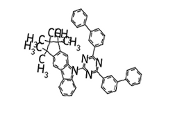 CC1(C)c2cc3c4ccccc4n(-c4nc(-c5cccc(-c6ccccc6)c5)nc(-c5cccc(-c6ccccc6)c5)n4)c3cc2C(C)(C)C1(C)C